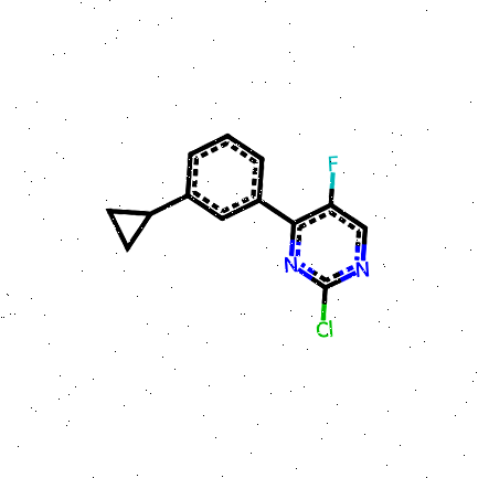 Fc1cnc(Cl)nc1-c1cccc(C2CC2)c1